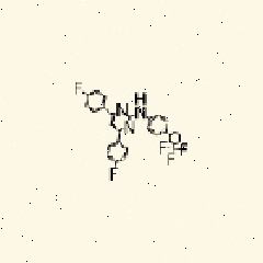 Fc1ccc(-c2cc(-c3ccc(F)cc3)nc(Nc3ccc(OC(F)(F)F)cc3)n2)cc1